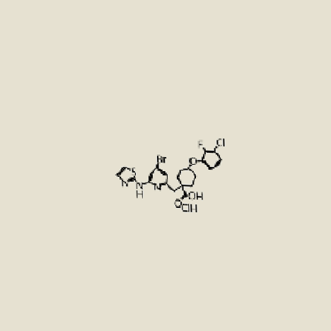 Cl.O=C(O)[C@]1(Cc2cc(Br)cc(Nc3nccs3)n2)CC[C@@H](Oc2cccc(Cl)c2F)CC1